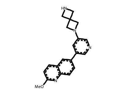 COc1ccc2cc(-c3cncc(N4CC5(CNC5)C4)c3)ccc2n1